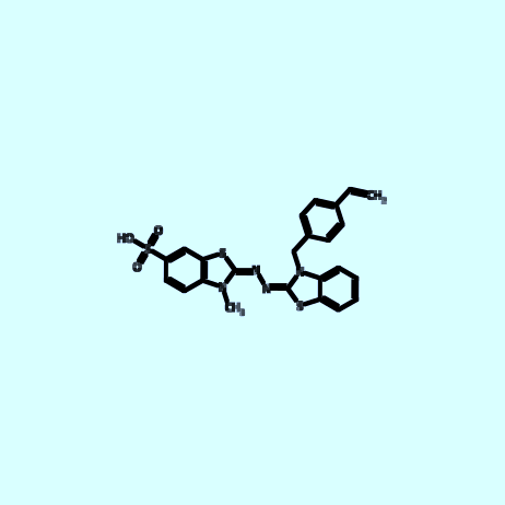 C=Cc1ccc(Cn2/c(=N\N=c3\sc4cc(S(=O)(=O)O)ccc4n3C)sc3ccccc32)cc1